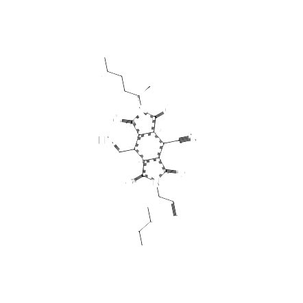 C=C[C@H](CCCC)n1c(=O)c2c(C#N)c3c(=O)n([C@H](C)CCCC)c(=O)c3c(C=N)c2c1=O